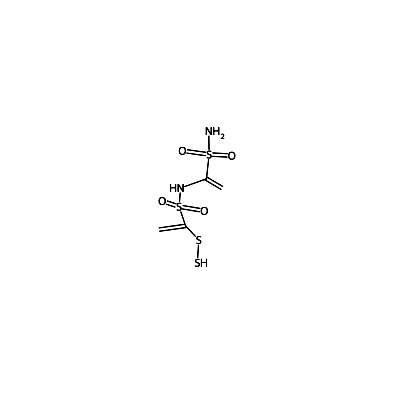 C=C(NS(=O)(=O)C(=C)SS)S(N)(=O)=O